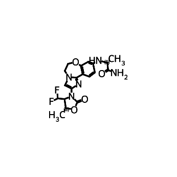 C[C@H](Nc1ccc2c(c1)OCCn1cc(N3C(=O)O[C@@H](C)C3C(F)F)nc1-2)C(N)=O